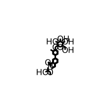 COC(O)Cn1ccc2ccc(-c3ccc(OC4OC(CO)C(O)C(O)C4O)c(C)c3)cc2c1=O